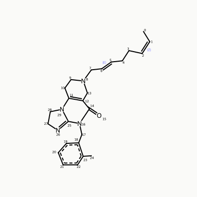 C/C=C\CC/C=C/CN1CCC2=C(C1)C(=O)N(Cc1ccccc1C)C1=NCCN12